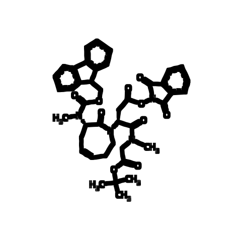 CN(CC(=O)OC(C)(C)C)C(=O)[C@H](CC(=O)ON1C(=O)c2ccccc2C1=O)N1CC/C=C\C[C@H](N(C)C(=O)OCC2c3ccccc3-c3ccccc32)C1=O